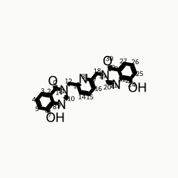 O=c1c2cccc(O)c2ncn1Cc1cccc(Cn2cnc3c(O)cccc3c2=O)n1